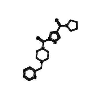 O=C(c1cnn(C(=O)N2CCN(Cc3ccccn3)CC2)c1)N1CCCC1